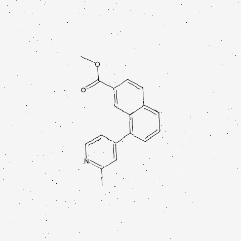 COC(=O)c1ccc2cccc(-c3ccnc(C)c3)c2c1